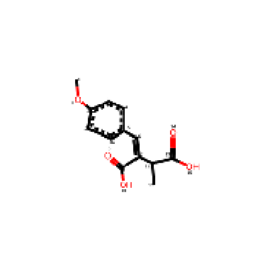 COc1ccc(/C=C(\C(=O)O)C(C)C(=O)O)cc1